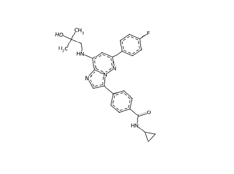 CC(C)(O)CNc1cc(-c2ccc(F)cc2)nn2c(-c3ccc(C(=O)NC4CC4)cc3)cnc12